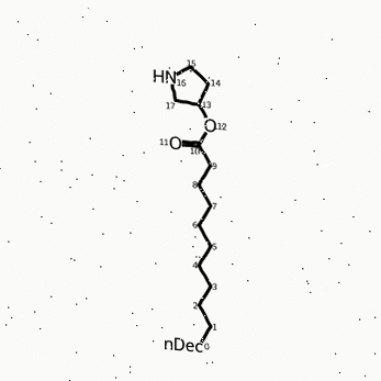 CCCCCCCCCCCCCCCCCCCC(=O)OC1C[CH]NC1